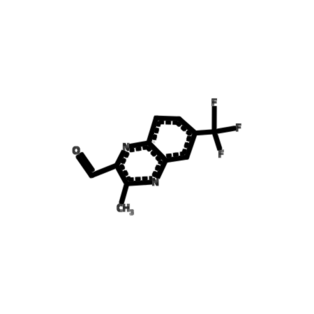 Cc1nc2cc(C(F)(F)F)ccc2nc1C=O